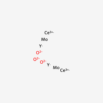 [Ce+3].[Ce+3].[Mo].[Mo].[O-2].[O-2].[O-2].[Y].[Y]